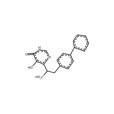 O=C(O)C(Cc1ccc(-c2ccccc2)cc1)c1nc[nH]c(=O)c1O